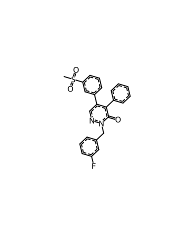 CS(=O)(=O)c1cccc(-c2cnn(Cc3cccc(F)c3)c(=O)c2-c2ccccc2)c1